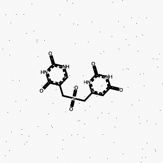 O=c1cc(CS(=O)(=O)Cc2c[nH]c(=O)[nH]c2=O)[nH]c(=O)[nH]1